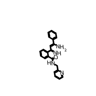 N=C(/C=C(\N)c1ccccc1)c1ccccc1C(=O)NCc1ccccn1